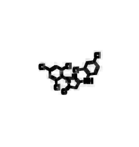 O=C1CC(Nc2ccc(Cl)cc2Cl)=NN1c1c(Cl)cc(Cl)cc1Cl